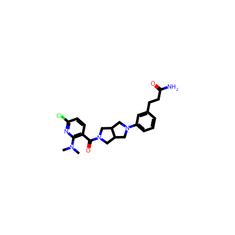 CN(C)c1nc(Cl)ccc1C(=O)N1CC2CN(c3cccc(CCC(N)=O)c3)CC2C1